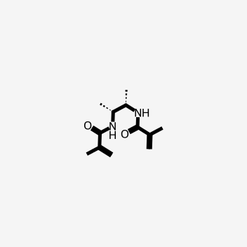 C=C(C)C(=O)N[C@@H](C)[C@@H](C)NC(=O)C(=C)C